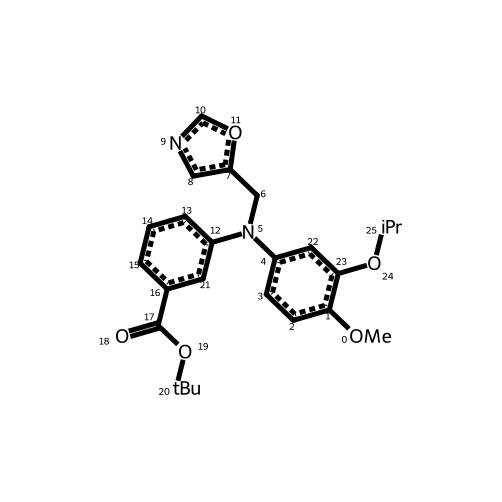 COc1ccc(N(Cc2cnco2)c2cccc(C(=O)OC(C)(C)C)c2)cc1OC(C)C